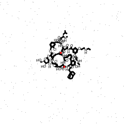 CCNCCOc1cc(OCCNCC)cc(C(=O)NC(=O)C[C@@H]2NC(=O)[C@H](NC(=O)[C@@H](CC(C)C)NC)[C@H](O)c3ccc(c(Cl)c3)Oc3cc4cc(c3O[C@@H]3O[C@H](CO)[C@@H](O)[C@H](O)[C@H]3O)Oc3ccc(cc3Cl)[C@@H](O)[C@@H]3NC(=O)[C@H](NC(=O)[C@@H]4NC2=O)c2ccc(O)c(c2)-c2c(O)cc(O)cc2[C@@H](C(=O)CC2C4CC5CC(C4)CC2C5)NC3=O)c1